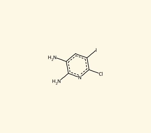 Nc1cc(I)c(Cl)nc1N